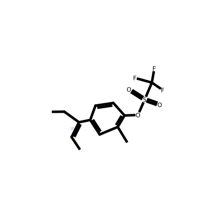 C/C=C(/CC)c1ccc(OS(=O)(=O)C(F)(F)F)c(C)c1